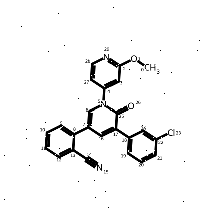 COc1cc(-n2cc(-c3ccccc3C#N)cc(-c3cccc(Cl)c3)c2=O)ccn1